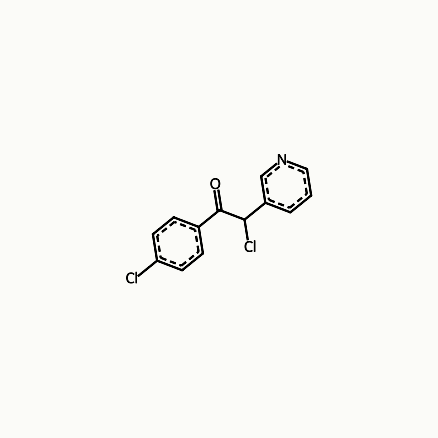 O=C(c1ccc(Cl)cc1)C(Cl)c1cccnc1